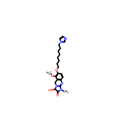 COc1c(OCCCCCCCCn2ccnc2)ccc2c1CN1C(=N2)N(C)C(=O)C1O